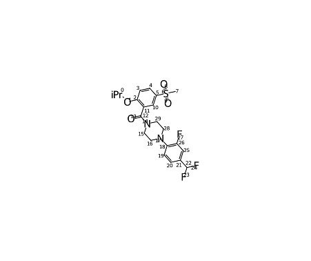 CC(C)Oc1ccc(S(C)(=O)=O)cc1C(=O)N1CCN(c2ccc(C(F)F)cc2F)CC1